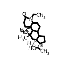 CCN1C(=O)CC[C@@]2(C)C1=CCC1C2[C@@](C)(O)C[C@@]2(C)C1CC[C@@H]2C(C)O